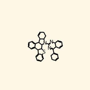 C1=CCCC(C2=NC(N3C4CCC=CC4C4c5ccccc5C5c6ccccc6SC5C43)=NC3C=CC=CC23)=C1